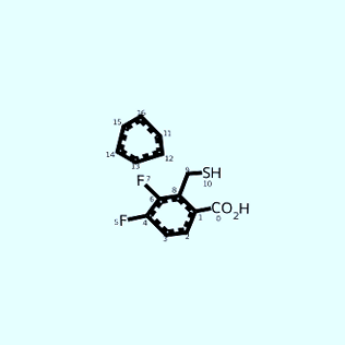 O=C(O)c1ccc(F)c(F)c1CS.c1ccccc1